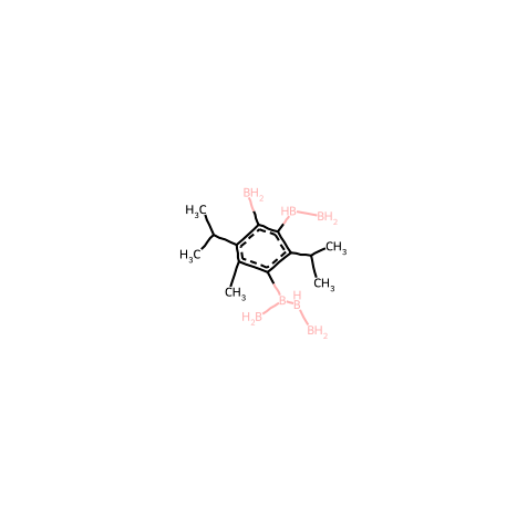 BBB(B)c1c(C)c(C(C)C)c(B)c(BB)c1C(C)C